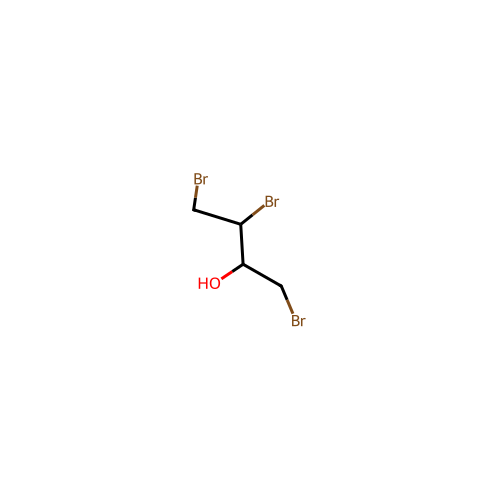 OC(CBr)C(Br)CBr